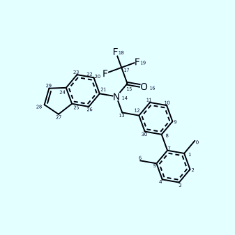 Cc1cccc(C)c1-c1cccc(CN(C(=O)C(F)(F)F)c2ccc3c(c2)CC=C3)c1